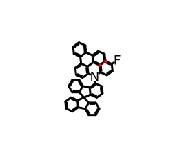 Fc1ccc(N(c2cccc3c2-c2ccccc2C32c3ccccc3-c3ccccc32)c2cccc3c4ccccc4c4ccccc4c23)cc1